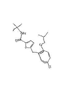 CC(C)COc1ccc(Cl)cc1Cc1ccc(C(=O)NC(C)(C)C)o1